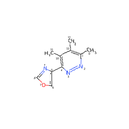 Cc1nnc(-c2cocn2)c(C)c1C